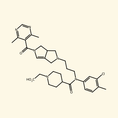 Cc1ccc(N(CCCN2CC3=CN(C(=O)c4c(C)ncnc4C)CC3C2)C(=O)C2CCN(CC(=O)O)CC2)cc1Cl